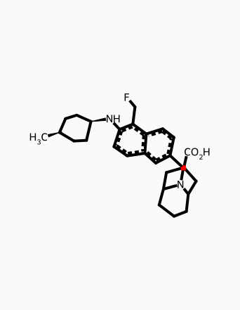 C[C@H]1CC[C@@H](Nc2ccc3cc(CN4C5CCCC4CC(C(=O)O)C5)ccc3c2CF)CC1